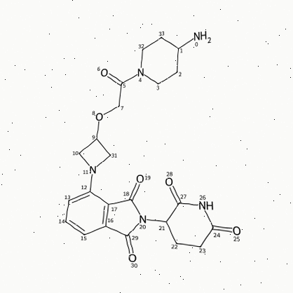 NC1CCN(C(=O)COC2CN(c3cccc4c3C(=O)N(C3CCC(=O)NC3=O)C4=O)C2)CC1